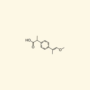 COC=C(C)c1ccc(C(C)C(=O)O)cc1